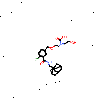 O=C(NCC12CC3CC(CC(C3)C1)C2)c1cc(COCCN(CCO)C(=O)O)ccc1Cl